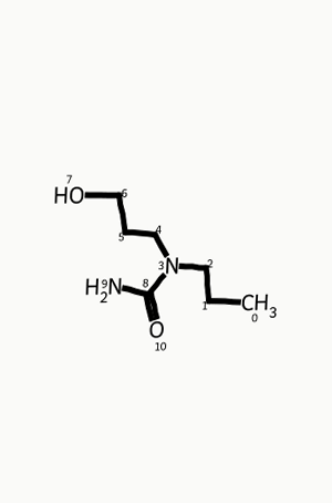 CCCN(CCCO)C(N)=O